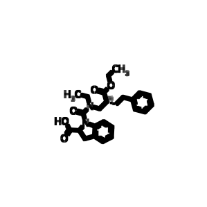 CCOC(=O)[C@H](CCc1ccccc1)CN(CC)C(=O)N1c2ccccc2CC1C(=O)O